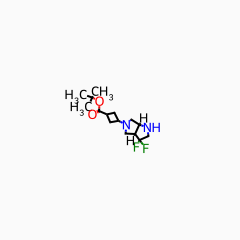 CC(C)(C)OC(=O)C1CC(N2C[C@@H]3NCC(F)(F)[C@@H]3C2)C1